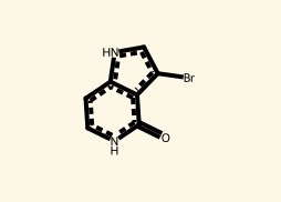 O=c1[nH]ccc2[nH]cc(Br)c12